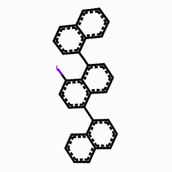 Ic1ccc(-c2cccc3ccccc23)c2cccc(-c3cccc4ccccc34)c12